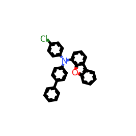 Clc1ccc(N(c2ccc(-c3ccccc3)cc2)c2cccc3c2oc2ccccc23)cc1